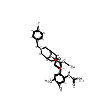 COc1cc(C=CC(=O)N2C3CN(Cc4ccc(F)cc4)CC2CN(C(=O)OC(C)(C)C)C3)c(NC(N)=O)cc1Cl